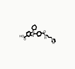 O=C(O)c1ccc2c(c1)nc(-c1ccc(C(=O)NCCCn3ccnc3)cc1)n2C1CCCCC1